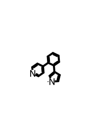 C1=CC(c2ccccc2-c2ccncc2)=C[N]1